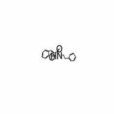 O=C(NCCc1ccccc1)c1cc2ccccc2o1